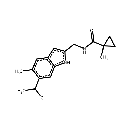 Cc1cc2cc(CNC(=O)C3(C)CC3)[nH]c2cc1C(C)C